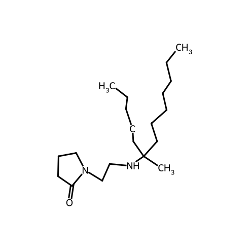 CCCCCCCC(C)(CCCCC)NCCN1CCCC1=O